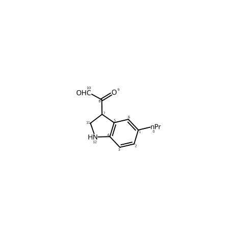 CCCc1ccc2c(c1)C(C(=O)C=O)CN2